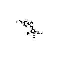 CCCN1CCN(C(=O)/C=C/c2cc(C(C)(C)C)c(O)c(C(C)(C)C)c2)CC1